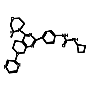 C[C@H]1COCCN1c1nc(-c2ccc(NC(=O)NC3CCC3)cc2)nc2c1CCN(c1cnccn1)C2